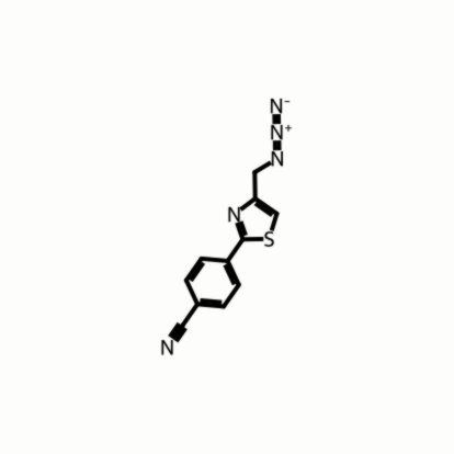 N#Cc1ccc(-c2nc(CN=[N+]=[N-])cs2)cc1